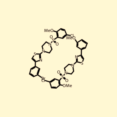 COc1ccc(Cl)cc1S(=O)(=O)N1CCN(c2nc(-c3cccc(Br)c3)cs2)CC1.COc1cccc(-c2csc(N3CCN(S(=O)(=O)c4cc(Cl)ccc4OC)CC3)n2)c1